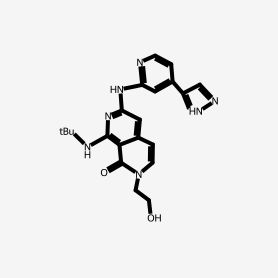 CC(C)(C)Nc1nc(Nc2cc(-c3cn[nH]c3)ccn2)cc2ccn(CCO)c(=O)c12